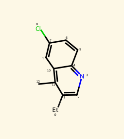 CCc1cnc2ccc(Cl)cc2c1C